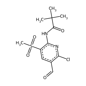 CC(C)(C)C(=O)Nc1nc(Cl)c(C=O)cc1S(C)(=O)=O